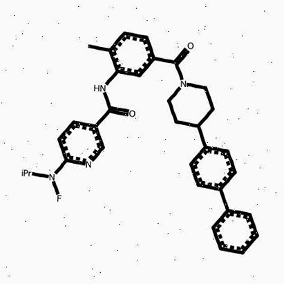 Cc1ccc(C(=O)N2CCC(c3ccc(-c4ccccc4)cc3)CC2)cc1NC(=O)c1ccc(N(F)C(C)C)nc1